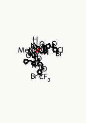 CNC(=O)c1cc(-n2c(=O)c3c(n4ncc(Cc5ccccc5)c24)CN(C(=O)c2ccc(Br)c(C(F)(F)F)c2)CC3)nn1CC1CC1Cc1cnn2c3c(c(=O)n(-c4ccc5c(NC)n[nH]c5c4)c12)CCN(C(=O)c1ccc(Br)c(Cl)c1)C3